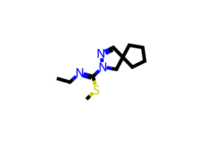 CCN=C(SC)N1CC2(C=N1)CCCC2